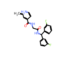 C=C/C=C(\C=C/N)C(=O)NCC(=O)NC(c1cccc(F)c1)c1cccc(F)c1